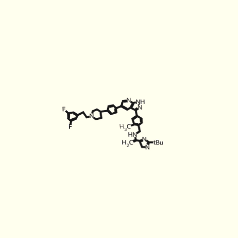 C=C(NCc1ccc(-c2n[nH]c3ncc(-c4ccc(C5CCN(CCc6cc(F)cc(F)c6)CC5)cc4)cc23)cc1C)C1=NC(C(C)(C)C)=NC1